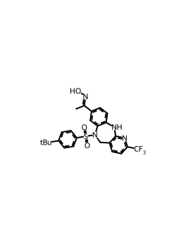 C/C(=N\O)c1ccc2c(c1)N(S(=O)(=O)c1ccc(C(C)(C)C)cc1)Cc1ccc(C(F)(F)F)nc1N2